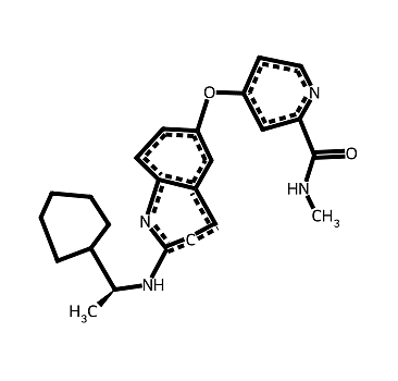 CNC(=O)c1cc(Oc2ccc3nc(N[C@@H](C)C4CCCCC4)ccc3c2)ccn1